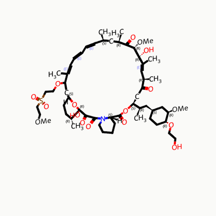 COCCS(=O)(=O)CCOC1C[C@@H]2CC[C@@H](C)[C@@](O)(O2)C(=O)C(=O)N2CCCC[C@H]2C(=O)O[C@H]([C@H](C)C[C@@H]2CC[C@@H](OCCO)[C@H](OC)C2)CC(=O)[C@H](C)/C=C(\C)[C@@H](O)[C@@H](OC)C(=O)[C@H](C)C[C@H](C)/C=C/C=C/C=C/1C